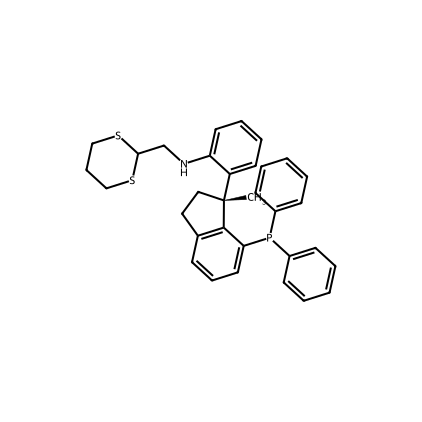 C[C@]1(c2ccccc2NCC2SCCCS2)CCc2cccc(P(c3ccccc3)c3ccccc3)c21